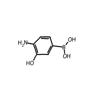 Nc1ccc(B(O)O)cc1O